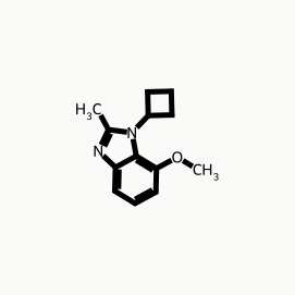 COc1cccc2nc(C)n(C3CCC3)c12